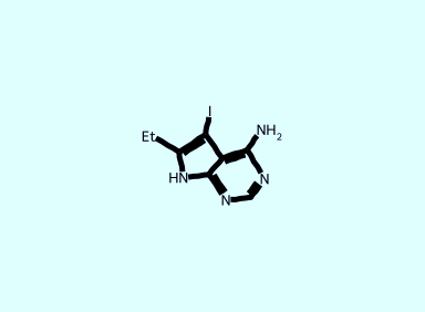 CCc1[nH]c2ncnc(N)c2c1I